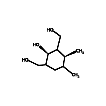 CC1CC(CO)[C@@H](O)C(CO)[C@H]1C